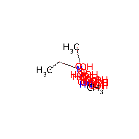 CCCCCCCC/C=C\CCCCCCCCCCCCCC(=O)N[C@@H](CO[C@@H]1OC(CO)[C@@H](O[C@@H]2OC(CO)[C@H](O)[C@H](O[C@@H]3OC(CO)[C@@H](O)[C@H](O[C@@H]4OC(CO)[C@H](O)[C@H](O)C4O)C3NC(C)=O)C2O)[C@H](O)C1O)[C@H](O)/C=C/CCCCCCCCCCCCC